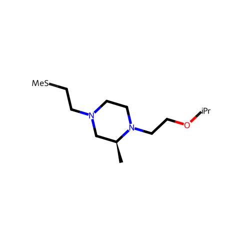 CSCCN1CCN(CCOC(C)C)[C@@H](C)C1